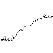 CCCCCCCCCCCC/C=C/S(=O)(=O)O